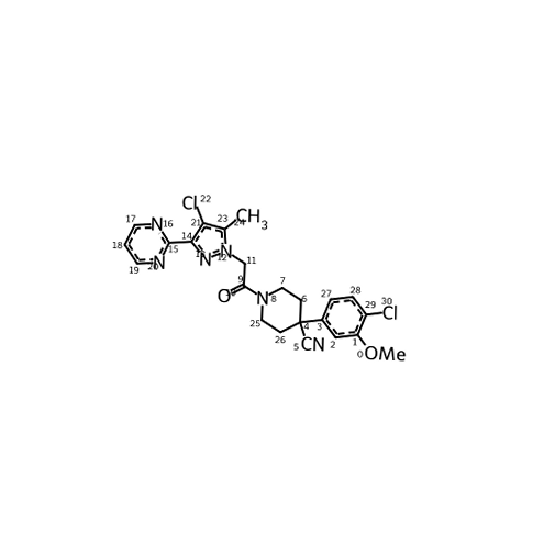 COc1cc(C2(C#N)CCN(C(=O)Cn3nc(-c4ncccn4)c(Cl)c3C)CC2)ccc1Cl